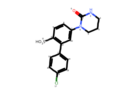 O=C1NCCCN1c1ccc(S(=O)(=O)O)c(-c2ccc(Cl)cc2)c1